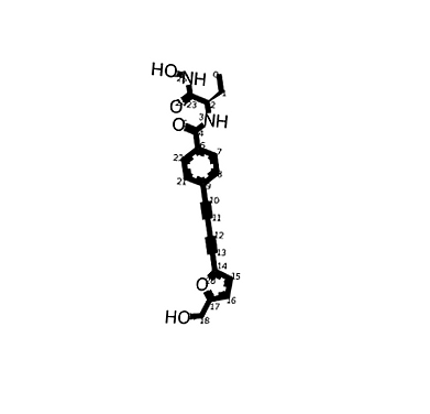 CC[C@@H](NC(=O)c1ccc(C#CC#Cc2ccc(CO)o2)cc1)C(=O)NO